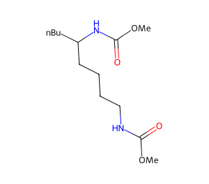 CCCCC(CCCCNC(=O)OC)NC(=O)OC